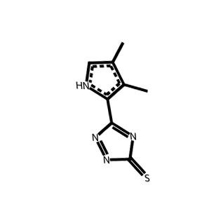 Cc1c[nH]c(C2=NC(=S)N=N2)c1C